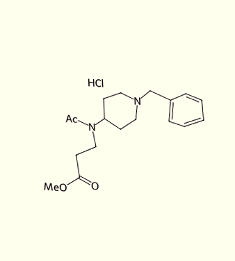 COC(=O)CCN(C(C)=O)C1CCN(Cc2ccccc2)CC1.Cl